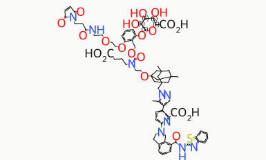 Cc1c(-c2ccc(N3CCc4cccc(C(=O)Nc5nc6ccccc6s5)c4C3)nc2C(=O)O)cnn1CC12CC3(C)CC(C)(C1)CC(OCCN(CCCC(=O)O)C(=O)OCc1c(OCCOCCNC(=O)CCN4C(=O)C=CC4=O)cccc1O[C@@H]1O[C@H](C(=O)O)[C@@H](O)[C@H](O)[C@H]1O)(C3)C2